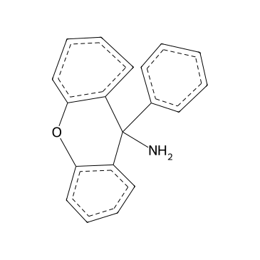 NC1(c2ccccc2)c2ccccc2Oc2ccccc21